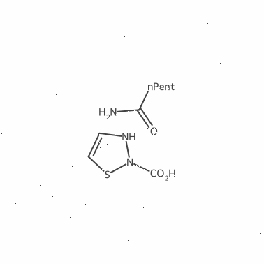 CCCCCC(N)=O.O=C(O)N1NC=CS1